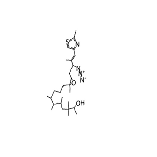 C/C(=C\c1csc(C)n1)C(CC1OC1(C)CCCC(C)C(C)C(C)CC(C)(C)C(C)O)N=[N+]=[N-]